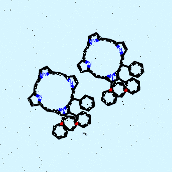 C1=Cc2cc3c(-c4ccccc4)c(-c4ccccc4)c(c(-c4ccccc4)c4nc(cc5ccc(cc1n2)[nH]5)C=C4)n3-c1ccccc1.C1=Cc2cc3c(-c4ccccc4)c(-c4ccccc4)c(c(-c4ccccc4)c4nc(cc5ccc(cc1n2)[nH]5)C=C4)n3-c1ccccc1.[Fe]